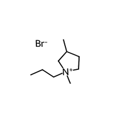 CCC[N+]1(C)CCC(C)C1.[Br-]